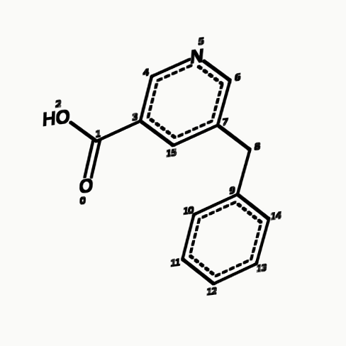 O=C(O)c1cncc(Cc2ccccc2)c1